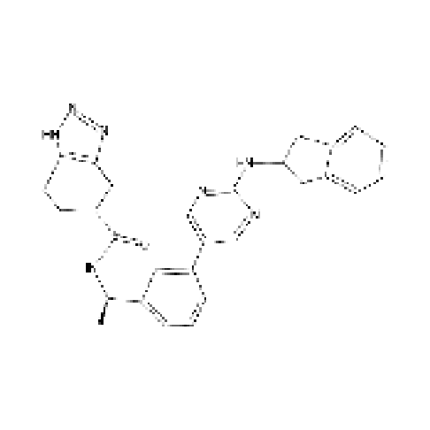 C[C@@H](NC(=O)[C@@H]1CCc2[nH]nnc2C1)c1cccc(-c2cnc(NC3Cc4ccccc4C3)nc2)c1